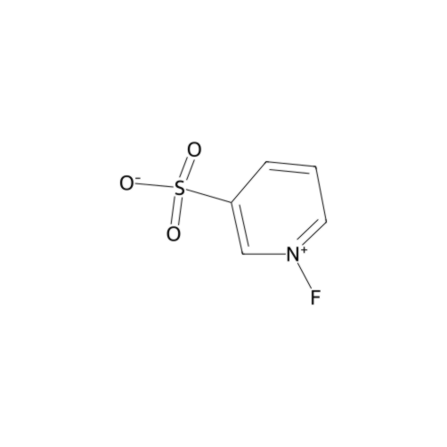 O=S(=O)([O-])c1ccc[n+](F)c1